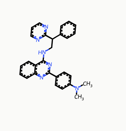 CN(C)c1ccc(-c2nc(NCC(c3ccccc3)c3ncccn3)c3ccccc3n2)cc1